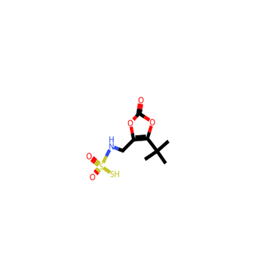 CC(C)(C)c1oc(=O)oc1CNS(=O)(=O)S